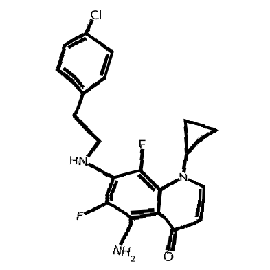 Nc1c(F)c(NCCc2ccc(Cl)cc2)c(F)c2c1c(=O)ccn2C1CC1